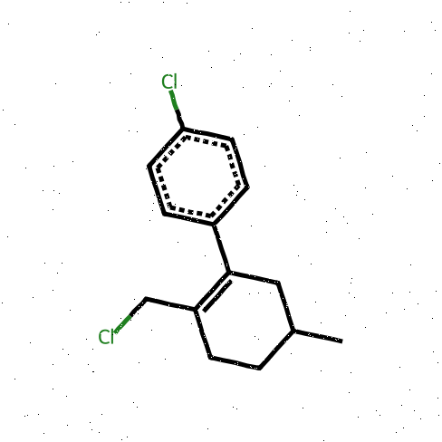 CC1CCC(CCl)=C(c2ccc(Cl)cc2)C1